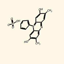 Cc1cc2nc3cc(C)c(O)cc3[n+](-c3ccccc3)c2cc1O.O=S(=O)([O-])O